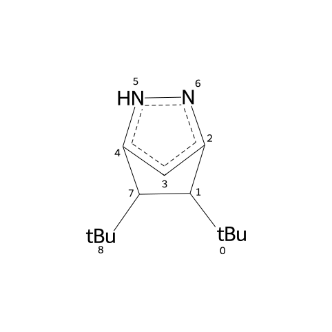 CC(C)(C)C1c2cc([nH]n2)C1C(C)(C)C